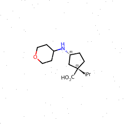 CC(C)[C@]1(C(=O)O)CC[C@@H](NC2CCOCC2)C1